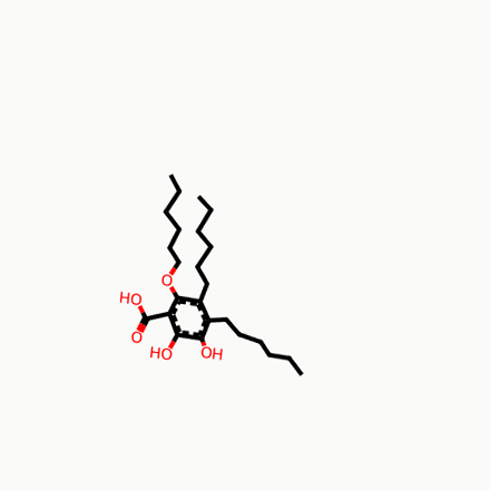 CCCCCCOc1c(CCCCCC)c(CCCCCC)c(O)c(O)c1C(=O)O